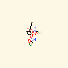 CCCCCCC1(OC(=O)NC(=O)CCl)CC(OC(=O)NC(=O)CCl)CCC12CO2